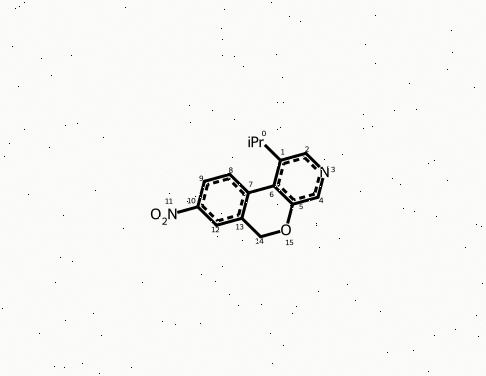 CC(C)c1cncc2c1-c1ccc([N+](=O)[O-])cc1CO2